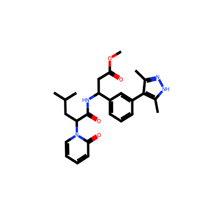 COC(=O)CC(NC(=O)C(CC(C)C)n1ccccc1=O)c1cccc(-c2c(C)n[nH]c2C)c1